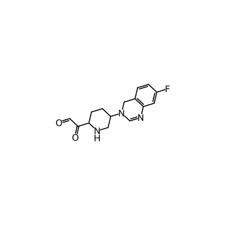 O=CC(=O)C1CCC(N2C=Nc3cc(F)ccc3C2)CN1